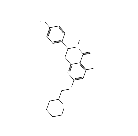 CCCc1ccc(C2Cc3nc(OCC4CCCCO4)cc(O)c3C(=O)N2CC)cc1